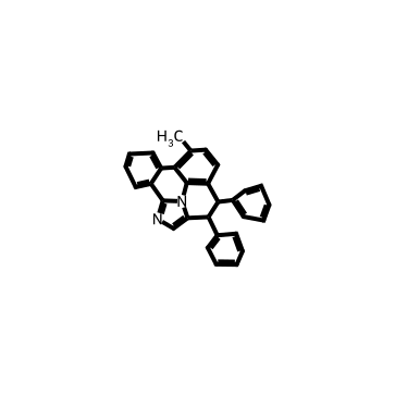 Cc1ccc2c3c1c1ccccc1c1ncc(n13)C(c1ccccc1)C2c1ccccc1